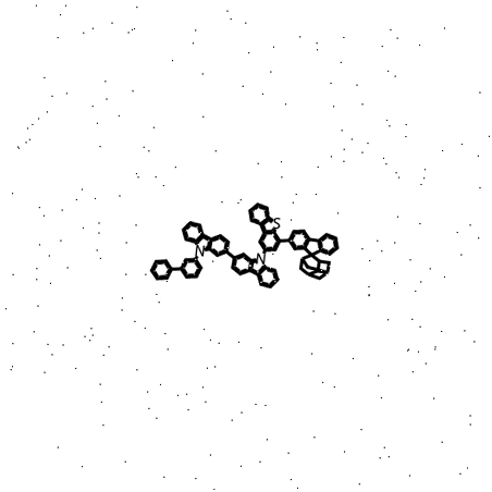 c1ccc(-c2cccc(-n3c4ccccc4c4ccc(-c5ccc6c7ccccc7n(-c7cc(-c8ccc9c(c8)C8(c%10ccccc%10-9)C9CC%10CC%11(C9)CC8C%10%11)c8sc9ccccc9c8c7)c6c5)cc43)c2)cc1